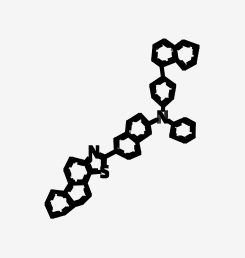 c1ccc(N(c2ccc(-c3cccc4ccccc34)cc2)c2ccc3cc(-c4nc5ccc6c7ccccc7ccc6c5s4)ccc3c2)cc1